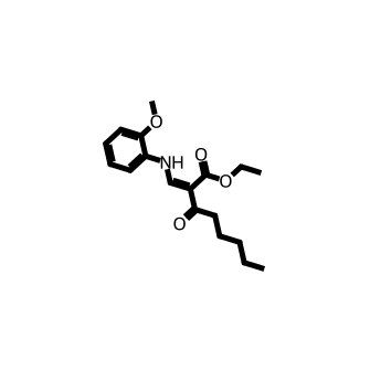 CCCCCC(=O)/C(=C/Nc1ccccc1OC)C(=O)OCC